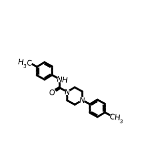 Cc1ccc(NC(=O)N2CCN(c3ccc(C)cc3)CC2)cc1